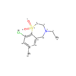 CC(C)CN1CCS(=O)(=O)c2c(Cl)cc(C(C)C)cc2C1